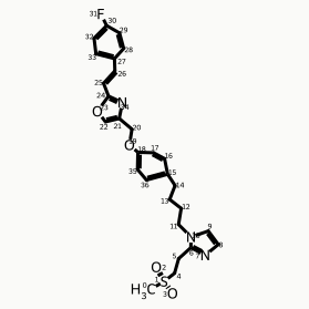 CS(=O)(=O)CCc1nccn1CCCCc1ccc(OCc2coc(C=Cc3ccc(F)cc3)n2)cc1